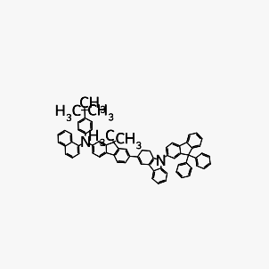 CC(C)(C)c1ccc(N(c2ccc3c(c2)C(C)(C)c2cc(C4=Cc5c(n(-c6ccc7c(c6)C(c6ccccc6)(c6ccccc6)c6ccccc6-7)c6ccccc56)CC4)ccc2-3)c2cccc3ccccc23)cc1